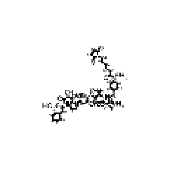 CC[C@H](C)C([C@@H](CC(=O)N1CCC[C@H]1[C@H](OC)[C@@H](C)C(=O)N[C@@H](Cc1ccccc1)C(=O)O)OC)N(C)C(=O)[C@@H](NC(=O)C(C(C)C)N(C)CCc1ccc(N(C)C(=O)CCCCCN2C(=O)C=CC2=O)cc1)C(C)C